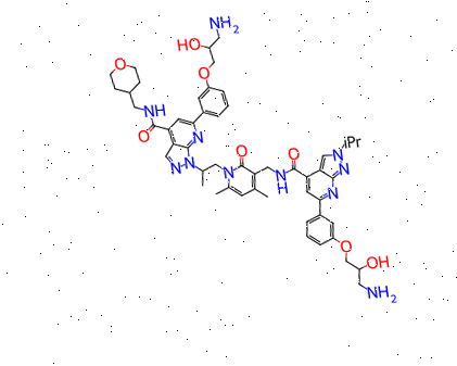 Cc1cc(C)n(CC(C)n2ncc3c(C(=O)NCC4CCOCC4)cc(-c4cccc(OCC(O)CN)c4)nc32)c(=O)c1CNC(=O)c1cc(-c2cccc(OCC(O)CN)c2)nc2nn(C(C)C)cc12